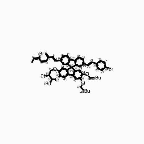 C=C(/C=C\C(Br)=C/C)/C=C/c1ccc2c(c1)C1(c3cc(/C=C/c4ccc(Br)cc4)ccc3-2)c2cc(OCC(C)CC)c(OCC(C)CC)cc2-c2cc3c(cc21)OCC(CC)C(C(C)CC)O3